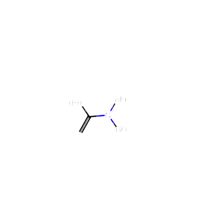 C=C(N(CCC)CCC)C(C)(C)C